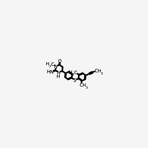 CC#Cc1cc(C)c(Sc2ccc(C3CC(=O)N(C)C(=N)N3)cc2)c(C)c1